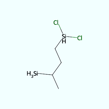 CC([SiH3])CC[SiH](Cl)Cl